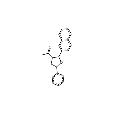 CC(=O)C1CC(c2ccccc2)OC1c1ccc2ccccc2c1